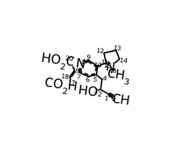 C#CC(O)Cc1ccncc1C1CCCN1C.O=C(O)/C=C/C(=O)O